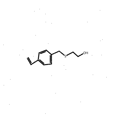 C=Cc1ccc(CSCCO)cc1